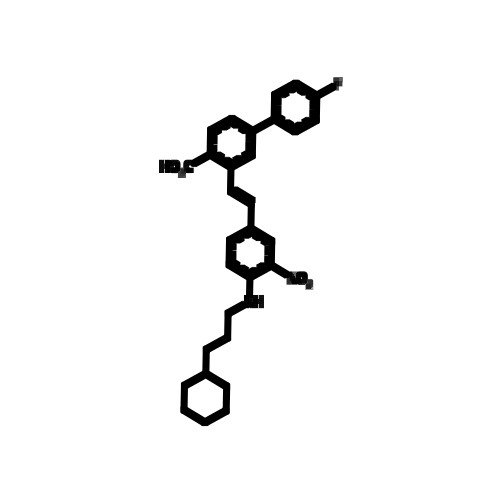 O=C(O)c1ccc(-c2ccc(F)cc2)cc1C=Cc1ccc(NCCCC2CCCCC2)c([N+](=O)[O-])c1